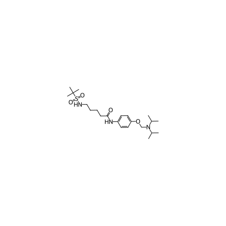 CC(C)N(COc1ccc(NC(=O)CCCCNS(=O)(=O)C(C)(C)C)cc1)C(C)C